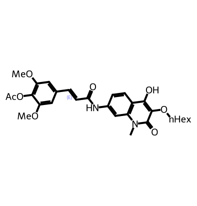 CCCCCCOc1c(O)c2ccc(NC(=O)/C=C/c3cc(OC)c(OC(C)=O)c(OC)c3)cc2n(C)c1=O